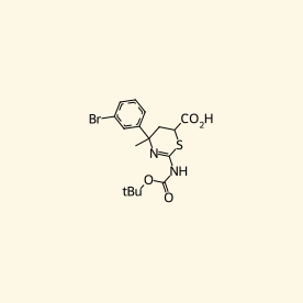 CC(C)(C)OC(=O)NC1=NC(C)(c2cccc(Br)c2)CC(C(=O)O)S1